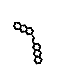 C(=Cc1ccc2cc3ccccc3cc2c1)c1ccc2cc3ccccc3cc2c1